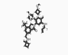 C=C[C@@H](C)NC1=CC(N2Cc3c(cc(CNC4(C)CCC4)cc3C(F)(F)F)C2=O)=C([n+]2cn(C)cn2)C([C@H]2C[C@@H](OC)C2)C1C